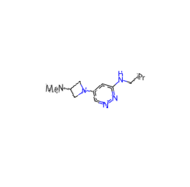 CNC1CN(c2cnnc(NCC(C)C)c2)C1